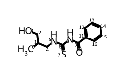 CC(CO)CNC(=S)NC(=O)c1ccccc1